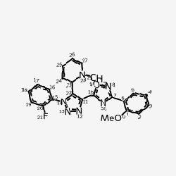 COc1ccccc1-c1noc(-c2nnn(-c3ccccc3F)c2C2C=CC=CN2C)n1